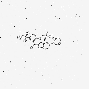 CS(=O)(=O)c1ccc(OCC(F)(F)C(F)(F)F)c(C(=O)N2Cc3ccc(C4COCCO4)cc3C2)c1